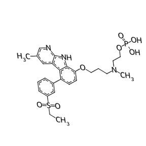 CCS(=O)(=O)c1cccc(-c2ccc(OCCCN(C)CCOP(=O)(O)O)c3[nH]c4ncc(C)cc4c23)c1